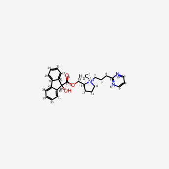 C[N@+]1(CCCc2ncccn2)CCCC1COC(=O)C1(O)c2ccccc2-c2ccccc21